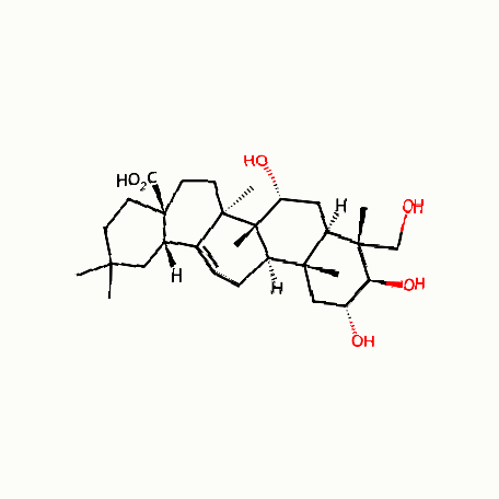 CC1(C)CC[C@]2(C(=O)O)CC[C@]3(C)C(=CC[C@@H]4[C@@]5(C)C[C@@H](O)[C@H](O)[C@@](C)(CO)[C@@H]5C[C@@H](O)[C@]43C)[C@@H]2C1